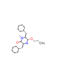 CC(=O)OCCOc1nc(=Cc2ccccc2)c(=O)n(C)c1=Cc1ccccc1